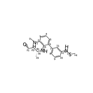 CNc1cccc(-c2cccc(NSC)c2)c1N[C@H](C)CC=O